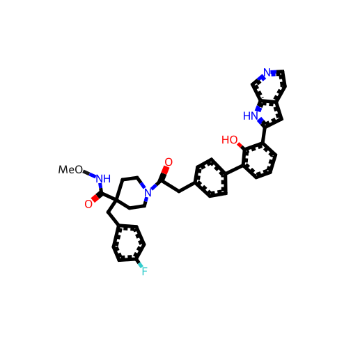 CONC(=O)C1(Cc2ccc(F)cc2)CCN(C(=O)Cc2ccc(-c3cccc(-c4cc5ccncc5[nH]4)c3O)cc2)CC1